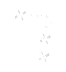 [NH4+].[NH4+].[NH4+].[NH4+].[NH4+].[NH4+].[O]=[Mo](=[O])([O-])[O-].[O]=[Mo](=[O])([O-])[O-].[O]=[Mo](=[O])([O-])[O-]